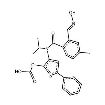 Cc1ccc(C(=O)N(c2cc(-c3ccccc3)sc2OC(=O)O)C(C)C)c(C=NO)c1